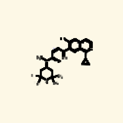 CN(C(=N)/C=C\C(=N)c1cc2c(C3CC3)nccc2cc1O)C1CC(C)(C)NC(C)(C)C1